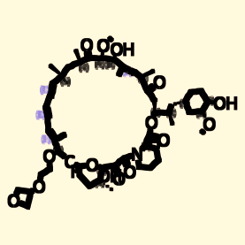 CO[C@@H]1C[C@H](C[C@@H](C)[C@@H]2CC(=O)[C@H](C)/C=C(\C)[C@@H](O)[C@@H](OC)C(=O)[C@H](C)C[C@H](C)/C=C/C=C/C=C(\C)[C@H](OCCOC3COC3)C[C@@H]3CC[C@@H](C)[C@@](O)(O3)C(=O)C(=O)N3CCCC[C@H]3C(=O)O2)CC[C@H]1O